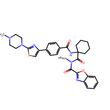 CCCCCN(C(=O)c1nc2ccccc2o1)C(=O)C1(NC(=O)c2ccc(-c3csc(N4CCN(C)CC4)n3)cc2)CCCCC1